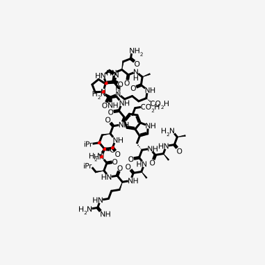 CC(C)C[C@H](NC(=O)[C@H](CCCNC(=N)N)NC(=O)[C@H](C)NC(=O)[C@H](Cc1c[nH]c2ccccc12)NC(=O)[C@H](C)NC(=O)[C@H](C)N)C(=O)N[C@@H](CC(C)C)C(=O)N[C@@H](CCC(N)=O)C(=O)N[C@@H](CCC(=O)O)C(=O)N[C@@H](Cc1c[nH]cn1)C(=O)N1CCC[C@H]1C(=O)N[C@@H](CC(N)=O)C(=O)N[C@@H](C)C(=O)N[C@@H](CCCNC(=N)N)C(=O)O